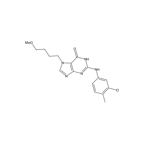 COCCCCn1cnc2nc(Nc3ccc(C)c(Cl)c3)[nH]c(=O)c21